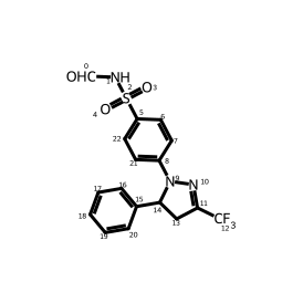 O=CNS(=O)(=O)c1ccc(N2N=C(C(F)(F)F)CC2c2ccccc2)cc1